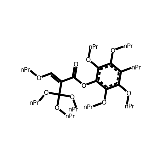 CCCOC=C(C(=O)Oc1c(OCCC)c(OCCC)c(CCC)c(OCCC)c1OCCC)C(OCCC)(OCCC)OCCC